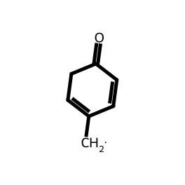 [CH2]C1=CCC(=O)C=C1